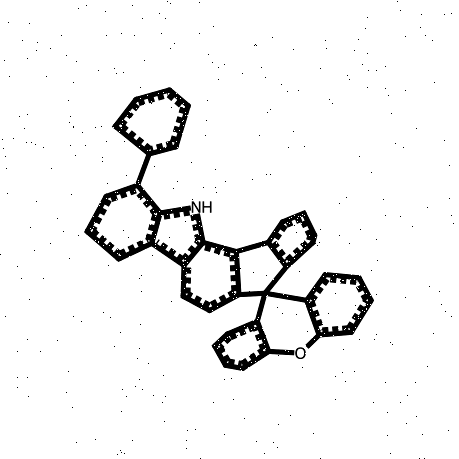 c1ccc(-c2cccc3c2[nH]c2c4c(ccc23)C2(c3ccccc3Oc3ccccc32)c2ccccc2-4)cc1